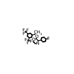 CC(OC1OC=CN=C1c1ccc(F)cc1)c1cc(C(F)(F)F)cc(C(F)(F)F)c1